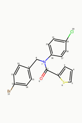 O=C(c1cccs1)N(Cc1ccc(Br)cc1)c1ccc(Cl)cc1